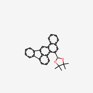 CC1(C)OB(c2cc3ccccc3c3cc4c5c(cccc5c23)-c2ccccc2-4)OC1(C)C